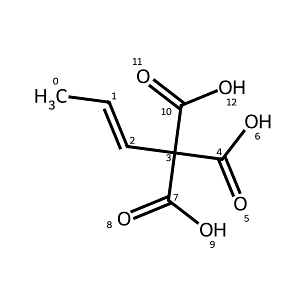 CC=CC(C(=O)O)(C(=O)O)C(=O)O